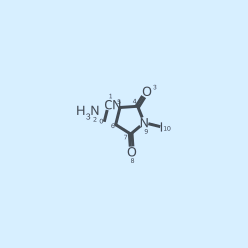 CC#N.N.O=C1CCC(=O)N1I